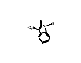 CCn1c(C)c(S(=O)(=O)O)c2ccccc21